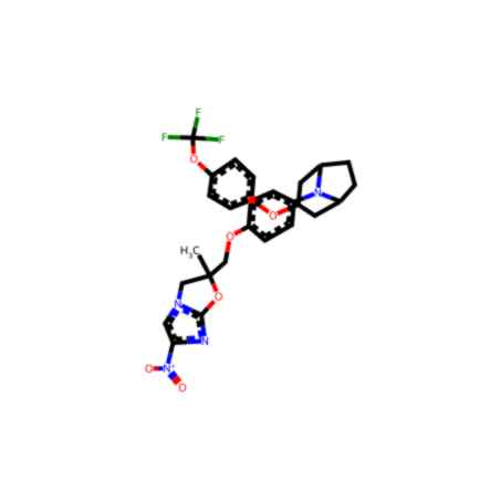 CC1(COc2ccc(N3C4CCC3CC(Oc3ccc(OC(F)(F)F)cc3)C4)cc2)Cn2cc([N+](=O)[O-])nc2O1